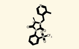 Cc1cnccc1CN1C(=O)N(c2ccccc2S(=O)(=O)C(F)(F)F)C(=O)[C@H]1C